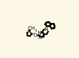 CN1CCC[C@H]1COc1ncc2c(n1)CN(c1cccc3ccccc13)CC2